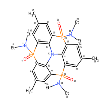 CCN(CC)P1(=O)c2cc(C)cc3c2N2c4c1cc(C)cc4P(=O)(N(CC)CC)c1cc(C)cc(c12)P3(=O)N(CC)CC